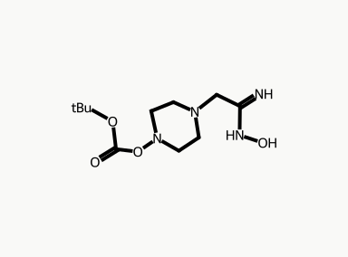 CC(C)(C)OC(=O)ON1CCN(CC(=N)NO)CC1